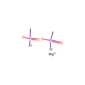 CCP(C)(=O)[O-].CCP(C)(=O)[O-].[Mg+2]